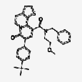 COCCN(Cc1ccccc1)C(=O)c1cc(-c2ccc(C(C)(C)C)cc2)c(=O)n2ccc3ccsc3c12